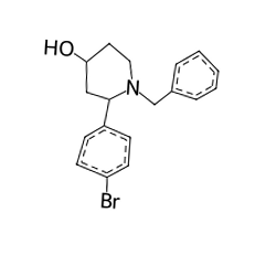 OC1CCN(Cc2ccccc2)C(c2ccc(Br)cc2)C1